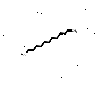 C=CC=CCCCCCCCCOC(C)=O